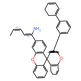 C/C=C\C=C(/N)c1ccc2c(c1)Oc1ccccc1C21C2=C(C=CCC2)Oc2cc(-c3cccc(C4=CC=CCC4)c3)ccc21